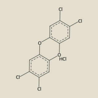 Cl.Clc1cc2c(cc1Cl)Oc1cc(Cl)c(Cl)cc1O2